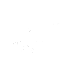 CCCCCCCCCCCCCCCCCC(=O)OC(=O)CCCCCCCCC.[Co].[Co]